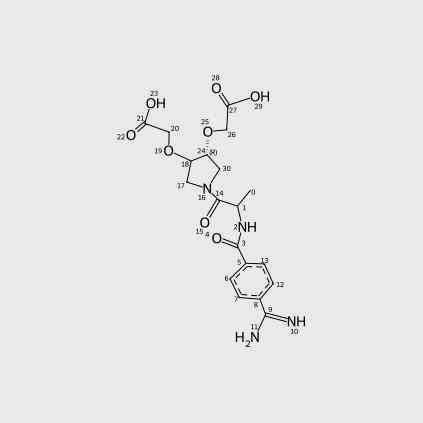 CC(NC(=O)c1ccc(C(=N)N)cc1)C(=O)N1CC(OCC(=O)O)[C@H](OCC(=O)O)C1